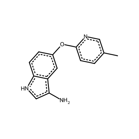 Cc1ccc(Oc2ccc3[nH]cc(N)c3c2)nc1